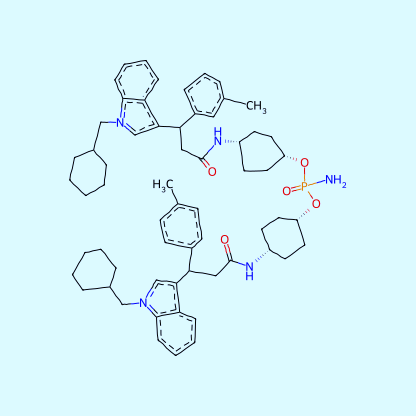 Cc1ccc(C(CC(=O)N[C@H]2CC[C@@H](OP(N)(=O)O[C@H]3CC[C@@H](NC(=O)CC(c4cccc(C)c4)c4cn(CC5CCCCC5)c5ccccc45)CC3)CC2)c2cn(CC3CCCCC3)c3ccccc23)cc1